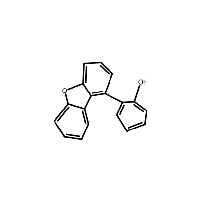 Oc1ccccc1-c1cccc2oc3ccccc3c12